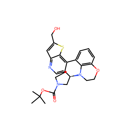 CC(C)(C)OC(=O)N1CC[C@@H](N2CCOc3cccc(-c4ccnc5cc(CO)sc45)c32)C1